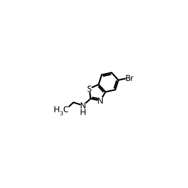 CCNc1nc2cc(Br)ccc2s1